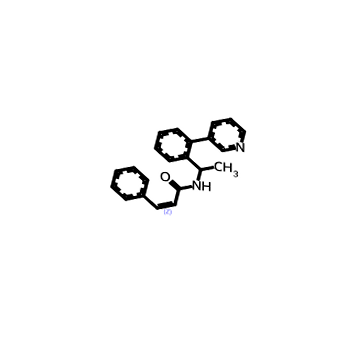 CC(NC(=O)/C=C\c1ccccc1)c1ccccc1-c1cccnc1